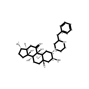 CC(=O)[C@H]1CC[C@H]2[C@@H]3CC[C@H]4C[C@H](O)[C@@H](N5CCOC(Cc6ccccc6)C5)C[C@]4(C)[C@H]3C(=O)C[C@]12C